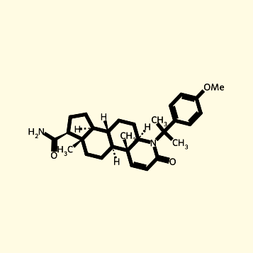 COc1ccc(C(C)(C)N2C(=O)C=C[C@]3(C)[C@H]4CC[C@]5(C)[C@@H](C(N)=O)CC[C@H]5[C@@H]4CC[C@@H]23)cc1